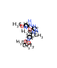 COc1ccc(Nc2cc(N(C)CC3CCN(C(=O)OC(C)(C)C)CC3)ncn2)c(OC)n1